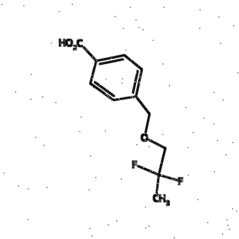 CC(F)(F)COCc1ccc(C(=O)O)cc1